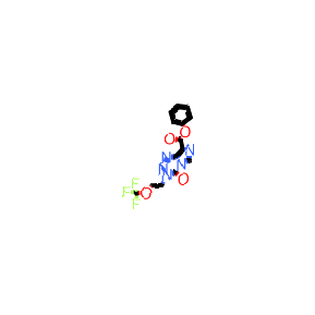 O=C(Oc1ccccc1)c1ncn2c(=O)n(CCOC(F)(F)F)nnc12